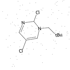 CC(C)(C)CN1C=C(Cl)C=NC1Cl